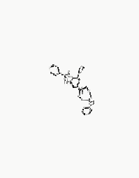 [O]c1cc(N2CCC(Oc3ccccc3)CC2)cc2nc(-c3ccccc3)sc12